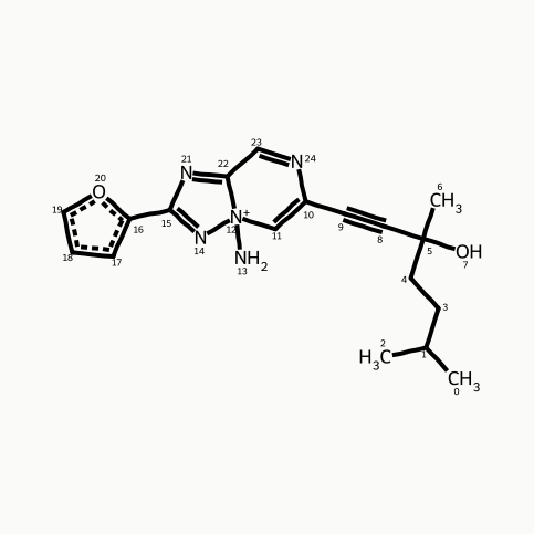 CC(C)CCC(C)(O)C#CC1=C[N+]2(N)N=C(c3ccco3)N=C2C=N1